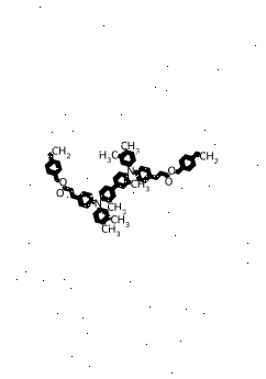 C=Cc1ccc(COC(=O)CCc2ccc(N(c3ccc(C)c(C)c3)c3ccc(-c4ccc(N(c5ccc(CCC(=O)OCc6ccc(C=C)cc6)cc5)c5ccc(C)c(C)c5)c(C)c4)cc3C)cc2)cc1